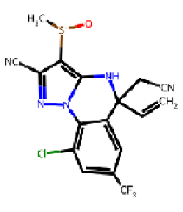 C=CC1(CC#N)Nc2c([S+](C)[O-])c(C#N)nn2-c2c(Cl)cc(C(F)(F)F)cc21